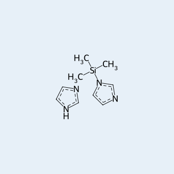 C[Si](C)(C)n1ccnc1.c1c[nH]cn1